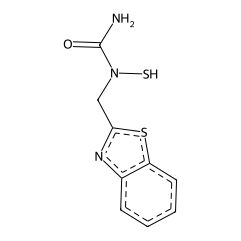 NC(=O)N(S)Cc1nc2ccccc2s1